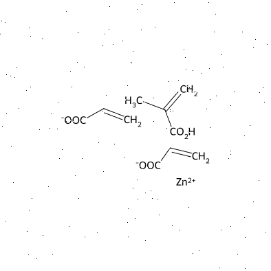 C=C(C)C(=O)O.C=CC(=O)[O-].C=CC(=O)[O-].[Zn+2]